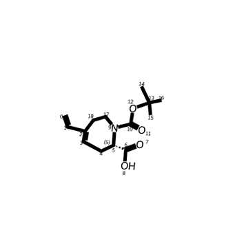 C=CC1=CC[C@@H](C(=O)O)N(C(=O)OC(C)(C)C)CC1